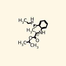 CCPOc1ccccc1N[C@@H](C)C(=O)OC(C)C